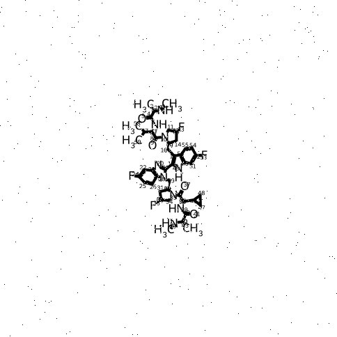 CN[C@@H](C)C(=O)N[C@H](C(=O)N1C[C@@H](F)C[C@H]1Cc1c(-c2nc3cc(F)ccc3n2C[C@@H]2C[C@H](F)CN2C(=O)[C@@H](NC(=O)[C@H](C)NC)C2CC2)[nH]c2cc(F)ccc12)C(C)C